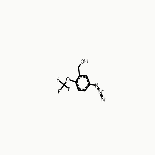 [N-]=[N+]=Nc1ccc(OC(F)(F)F)c(CO)c1